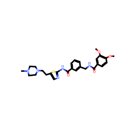 COc1ccc(C(=O)NCc2cccc(C(=O)Nc3ncc(CCN4CCN(C)CC4)s3)c2)cc1OC